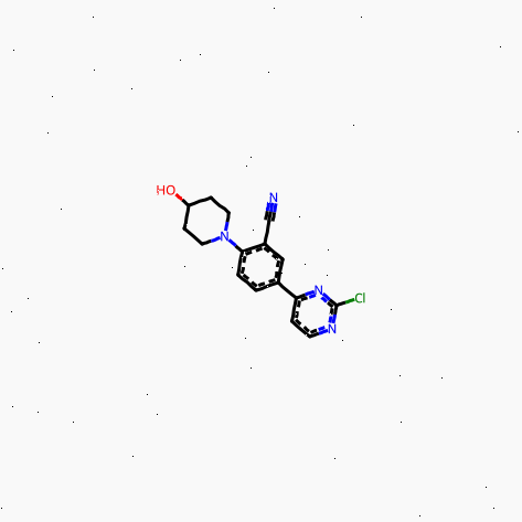 N#Cc1cc(-c2ccnc(Cl)n2)ccc1N1CCC(O)CC1